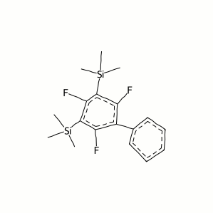 C[Si](C)(C)c1c(F)c(-c2ccccc2)c(F)c([Si](C)(C)C)c1F